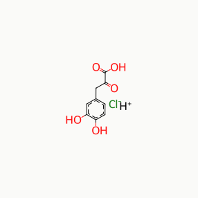 O=C(O)C(=O)Cc1ccc(O)c(O)c1.[Cl-].[H+]